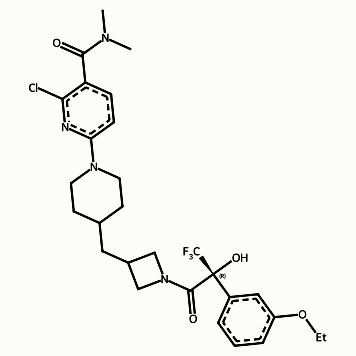 CCOc1cccc([C@@](O)(C(=O)N2CC(CC3CCN(c4ccc(C(=O)N(C)C)c(Cl)n4)CC3)C2)C(F)(F)F)c1